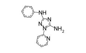 Nc1nc(Nc2ccccc2)nn1-c1ccccn1